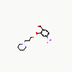 O=C(O)c1ccc([N+](=O)[O-])cc1C(=O)OCCCN1CCCCC1